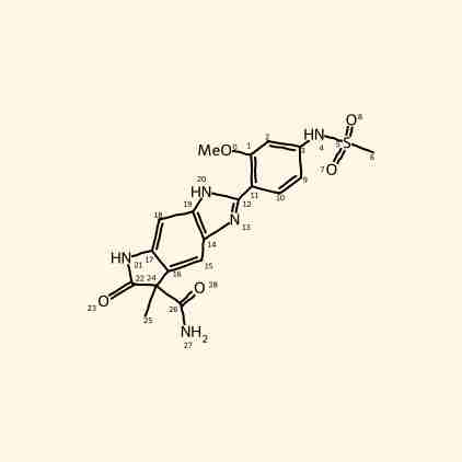 COc1cc(NS(C)(=O)=O)ccc1-c1nc2cc3c(cc2[nH]1)NC(=O)C3(C)C(N)=O